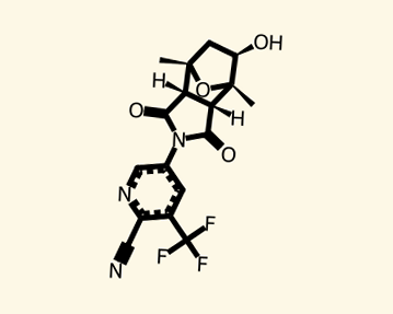 C[C@@]12O[C@@](C)(C[C@H]1O)[C@H]1C(=O)N(c3cnc(C#N)c(C(F)(F)F)c3)C(=O)[C@H]12